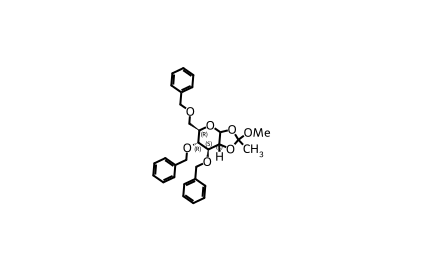 COC1(C)OC2O[C@H](COCc3ccccc3)[C@@H](OCc3ccccc3)[C@H](OCc3ccccc3)[C@H]2O1